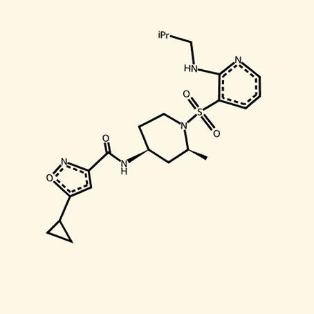 CC(C)CNc1ncccc1S(=O)(=O)N1CC[C@H](NC(=O)c2cc(C3CC3)on2)C[C@@H]1C